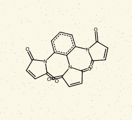 O=C1C=CC(=O)N1c1cccc(N2C(=O)C=CC2=O)c1N1C(=O)C=CC1=O